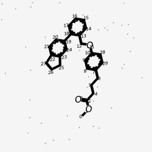 COC(=O)CCCc1ccc(OCc2ccccc2-c2ccc3c(c2)CCC3)cc1